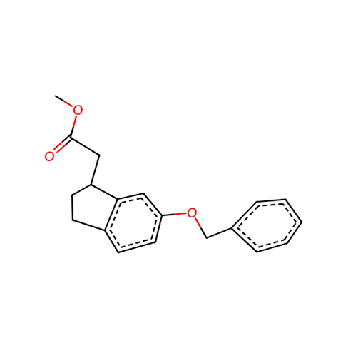 COC(=O)CC1CCc2ccc(OCc3ccccc3)cc21